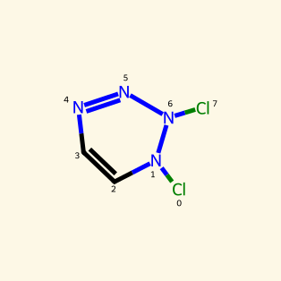 ClN1C=CN=NN1Cl